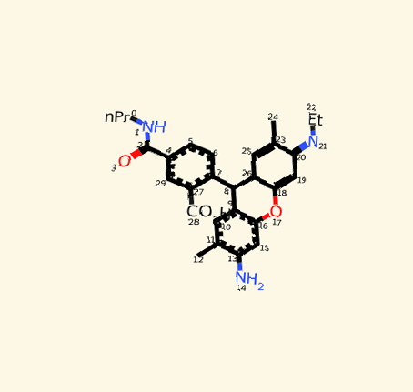 CCCNC(=O)c1ccc(C2c3cc(C)c(N)cc3OC3=C/C(=N/CC)C(C)=CC32)c(C(=O)O)c1